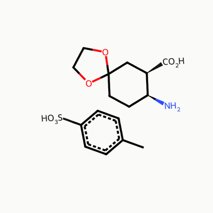 Cc1ccc(S(=O)(=O)O)cc1.N[C@H]1CCC2(C[C@H]1C(=O)O)OCCO2